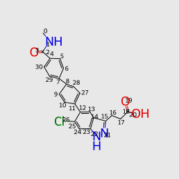 CNC(=O)c1ccc(-c2ccc(-c3cc4c(CCC(=O)O)n[nH]c4cc3Cl)cc2)cc1